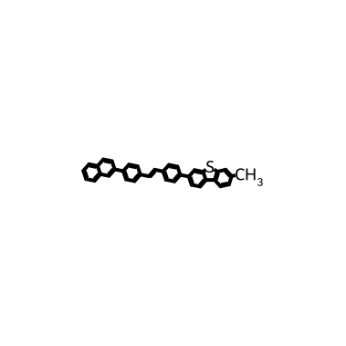 Cc1ccc2c(c1)sc1cc(-c3ccc(/C=C/c4ccc(-c5ccc6ccccc6c5)cc4)cc3)ccc12